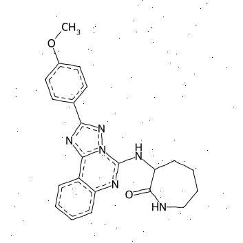 COc1ccc(-c2nc3c4ccccc4nc(NC4CCCCNC4=O)n3n2)cc1